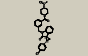 C[S+]([O-])N1CCN(C(=O)c2cccc(CN3C(=O)[C@]4(C[C@@H]4c4ccc(Cl)cc4)c4ccccc43)c2)CC1